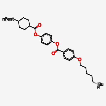 CCCCCC1CCC(C(=O)Oc2ccc(OC(=O)c3ccc(OCCCCC[C@@H](C)CC)cc3)cc2)CC1